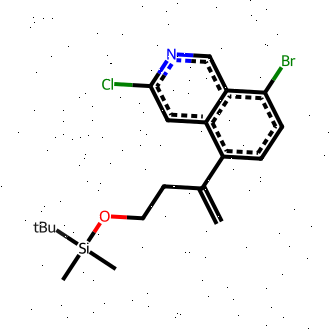 C=C(CCO[Si](C)(C)C(C)(C)C)c1ccc(Br)c2cnc(Cl)cc12